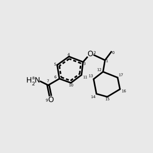 CC(Oc1ccc(C(N)=O)cc1)C1CCCCC1